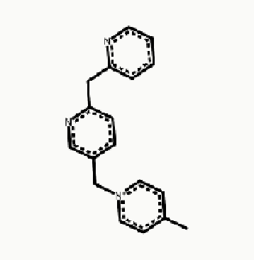 Cc1cc[n+](Cc2ccc(Cc3ccccn3)nc2)cc1